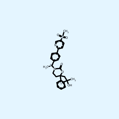 C[C@@H](c1ccc(-c2ccc(S(C)(=O)=O)cn2)cc1)N1CCC(CC(C)(C)O)(c2ccccc2)OC1=O